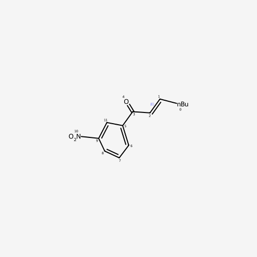 CCCC/C=C/C(=O)c1cccc([N+](=O)[O-])c1